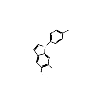 O=C(O)c1cc2ccn(-c3ccc(F)cc3)c2cc1F